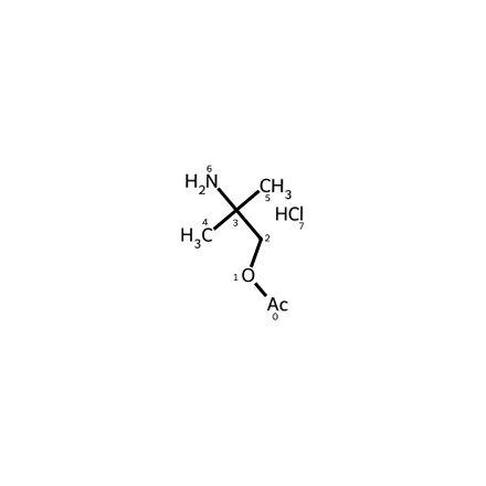 CC(=O)OCC(C)(C)N.Cl